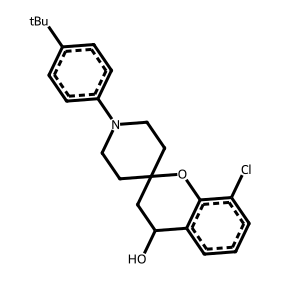 CC(C)(C)c1ccc(N2CCC3(CC2)CC(O)c2cccc(Cl)c2O3)cc1